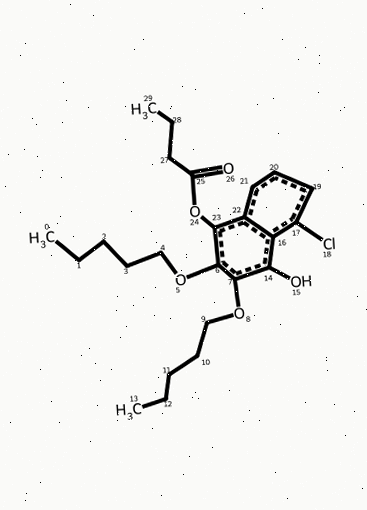 CCCCCOc1c(OCCCCC)c(O)c2c(Cl)cccc2c1OC(=O)CCC